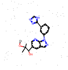 CCOC(C)(C)C(O)c1cnc2c(cnn2-c2cccc(-c3nnc[nH]3)c2)c1